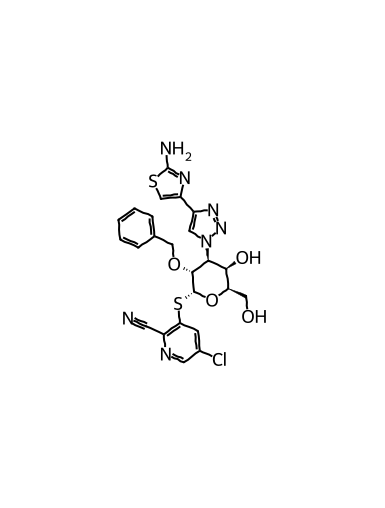 N#Cc1ncc(Cl)cc1S[C@H]1O[C@H](CO)[C@H](O)[C@H](n2cc(-c3csc(N)n3)nn2)[C@H]1OCc1ccccc1